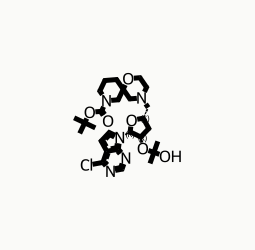 CC(C)(C)OC(=O)N1CCCC2(CN(C[C@@H]3C[C@@H](OC(C)(C)O)[C@H](n4ccc5c(Cl)ncnc54)O3)CCO2)C1